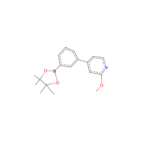 COc1cc(-c2cccc(B3OC(C)(C)C(C)(C)O3)c2)ccn1